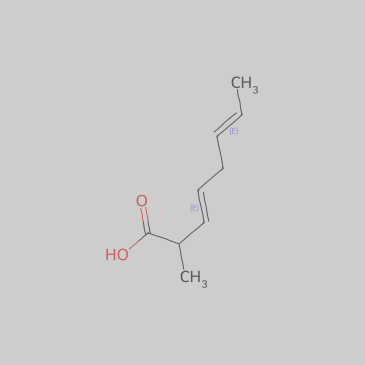 C/C=C/C/C=C/C(C)C(=O)O